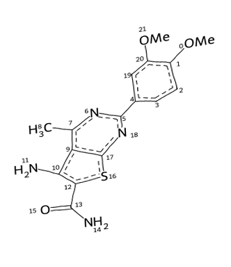 COc1ccc(-c2nc(C)c3c(N)c(C(N)=O)sc3n2)cc1OC